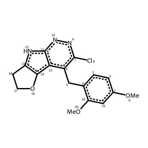 COc1ccc(Cc2c(Cl)nnc3[nH]c4c(c23)OCC4)c(OC)c1